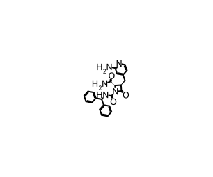 NC(=O)[C@@H]1[C@@H](Cc2ccnc(N)c2)C(=O)N1C(=O)NC(c1ccccc1)c1ccccc1